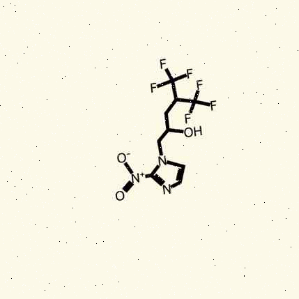 O=[N+]([O-])c1nccn1CC(O)CC(C(F)(F)F)C(F)(F)F